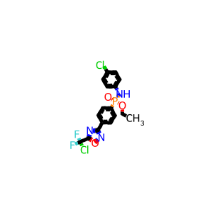 CCOP(=O)(Nc1ccc(Cl)cc1)c1ccc(-c2noc(C(F)(F)Cl)n2)cc1